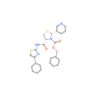 O=C(Nc1nc(-c2ccccc2)cs1)[C@@H]1CS[C@H](c2cccnc2)N1C(=O)OCc1ccccc1